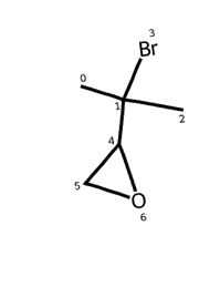 CC(C)(Br)C1CO1